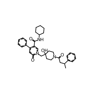 CC(CC(=O)N1CCC(O)(Cn2cc(C(=O)NC3CCCCC3)c(-c3ccccc3)cc2=O)CC1)c1ccccc1